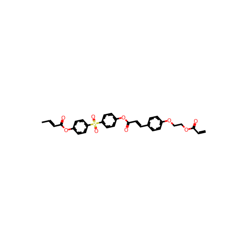 C=CC(=O)OCCOc1ccc(/C=C/C(=O)Oc2ccc(S(=O)(=O)c3ccc(OC(=O)/C=C/C)cc3)cc2)cc1